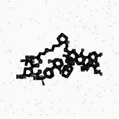 C[C@H](NC(=O)[C@@H]1C[C@@H](O)CN1C(=O)[C@@H](NC(=O)CCOCCCN1CCC[C@H]1COc1nc(N2CC3CCC(C2)N3C(=O)OC(C)(C)C)c2cc(C(F)(F)F)c(-c3ccc(F)c4sc(N)c(C#N)c34)c(F)c2n1)C(C)(C)C)c1ccc(-c2c(F)cccc2F)cc1